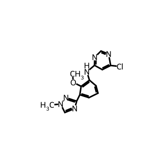 COc1c(Nc2cc(Cl)ncn2)cccc1-c1ncn(C)n1